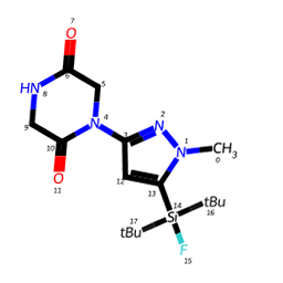 Cn1nc(N2CC(=O)NCC2=O)cc1[Si](F)(C(C)(C)C)C(C)(C)C